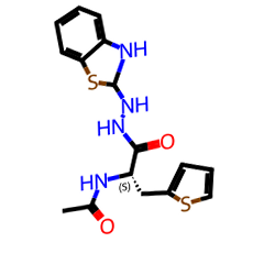 CC(=O)N[C@@H](Cc1cccs1)C(=O)NNC1Nc2ccccc2S1